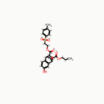 CCCOC(=O)C1C2C(=O)CC(c3ccc(O)cc32)C1C(=O)OCCS(=O)(=O)c1ccc(C)cc1